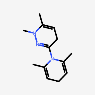 CC1=CCC(N2C(C)=CCC=C2C)=NN1C